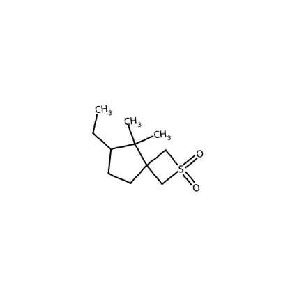 CCC1CCC2(CS(=O)(=O)C2)C1(C)C